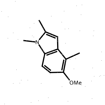 COc1ccc2c(cc(C)n2C)c1C